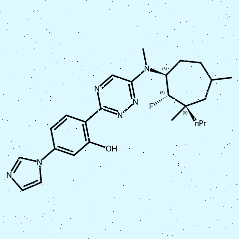 CCC[C@]1(C)CC(C)CC[C@H](N(C)c2cnc(-c3ccc(-n4ccnc4)cc3O)nn2)[C@H]1F